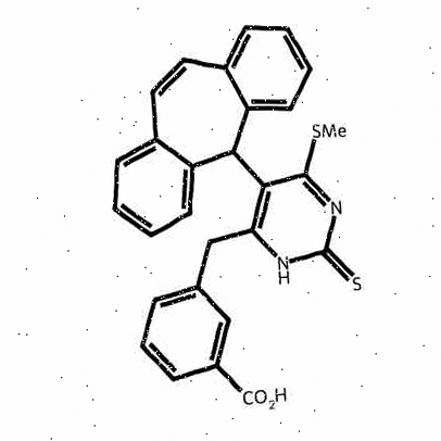 CSc1nc(=S)[nH]c(Cc2cccc(C(=O)O)c2)c1C1c2ccccc2C=Cc2ccccc21